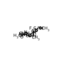 C[C@H]1CN(C(=O)Nc2ccc(CN3CCN(C)CC3)c(C(F)(F)F)c2)Cc2cc(Oc3c(F)cnc4[nH]c(C(=O)N(C)C)cc34)ccc21